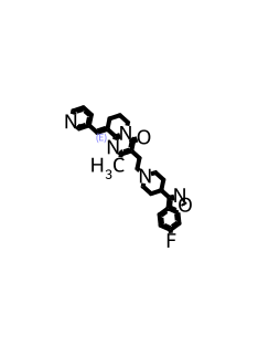 Cc1nc2n(c(=O)c1CCN1CCC(c3noc4cc(F)ccc34)CC1)CCC/C2=C\c1cccnc1